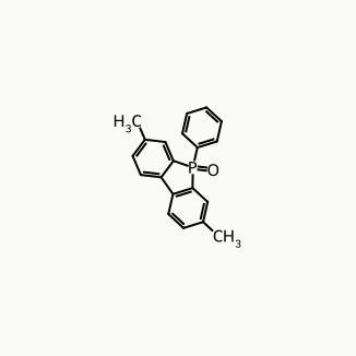 Cc1ccc2c(c1)P(=O)(c1ccccc1)c1cc(C)ccc1-2